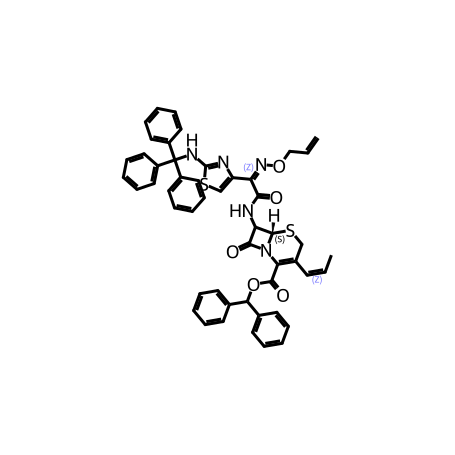 C=CCO/N=C(\C(=O)NC1C(=O)N2C(C(=O)OC(c3ccccc3)c3ccccc3)=C(/C=C\C)CS[C@@H]12)c1csc(NC(c2ccccc2)(c2ccccc2)c2ccccc2)n1